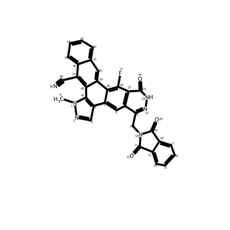 Cn1ncc2c3cc4c(CN5C(=O)c6ccccc6C5=O)n[nH]c(=O)c4c(F)c3c3cc4ccccc4c(C#N)c3c21